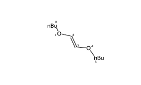 CCCCO/C=C/OCCCC